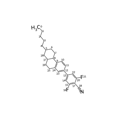 CCCCCC1CCC2c3ccc(-c4cc(F)c(C#N)c(F)c4)cc3CCC2C1